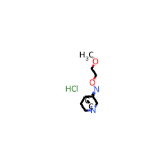 COCCON=C1CN2CCC1CC2.Cl